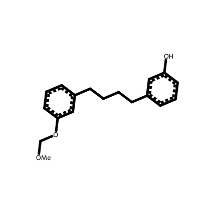 COCOc1cccc(CCCCc2cccc(O)c2)c1